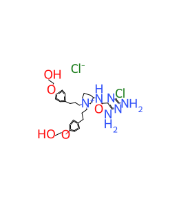 Nc1nc(N)c(C(=O)NC2CCC[N+](CCCc3ccc(OCCO)cc3)(CCCc3ccc(OCCO)cc3)C2)nc1Cl.[Cl-]